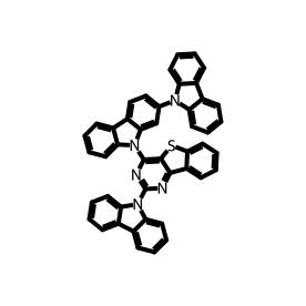 c1ccc2c(c1)sc1c(-n3c4ccccc4c4ccc(-n5c6ccccc6c6ccccc65)cc43)nc(-n3c4ccccc4c4ccccc43)nc12